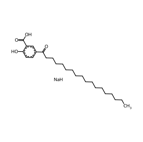 CCCCCCCCCCCCCCCCCC(=O)c1ccc(O)c(C(=O)O)c1.[NaH]